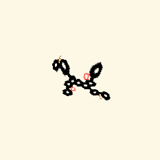 c1ccc2c(c1)oc1c2ccc2c(-c3ccc4sc5ccccc5c4c3)cc3cc4c(cc(-c5ccc6sc7ccccc7c6c5)c5ccc6c7ccccc7oc6c54)cc3c21